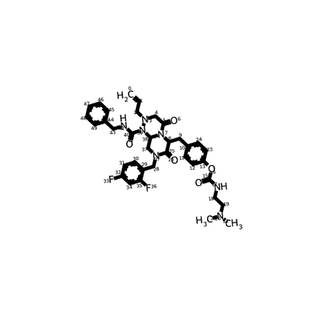 C=CCN1CC(=O)N2C(Cc3ccc(OC(=O)NCCN(C)C)cc3)C(=O)N(Cc3ccc(F)cc3F)CC2N1C(=O)NCc1ccccc1